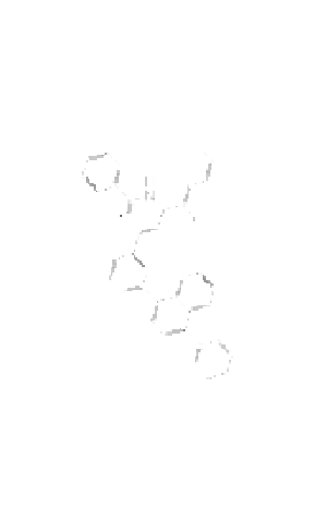 CC/C=C\C=C(/C)C1C=C(c2cccc(-c3ccc(C4=CCCC=C4)c4ccccc34)c2)N=C(c2ccccc2)N1